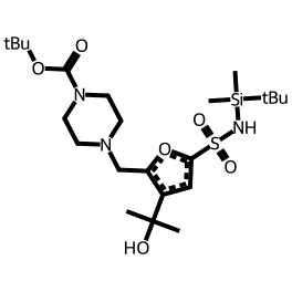 CC(C)(C)OC(=O)N1CCN(Cc2oc(S(=O)(=O)N[Si](C)(C)C(C)(C)C)cc2C(C)(C)O)CC1